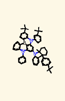 CC(C)(C)c1ccc(C23CCCCC2(C)N(c2cc4c5c(c2)N(c2cccc(C(C)(C)C)c2)c2cc(C(C)(C)C)ccc2B5c2ccccc2N4c2ccccc2)c2ccccc23)cc1